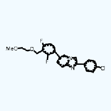 COCCOCc1c(F)ccc(-c2ccc3nc(-c4ccc(Cl)cc4)cn3c2)c1F